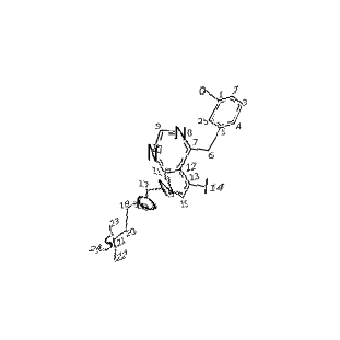 Cc1cccc(Cc2ncnc3c2c(I)cn3COCC[Si](C)(C)C)c1